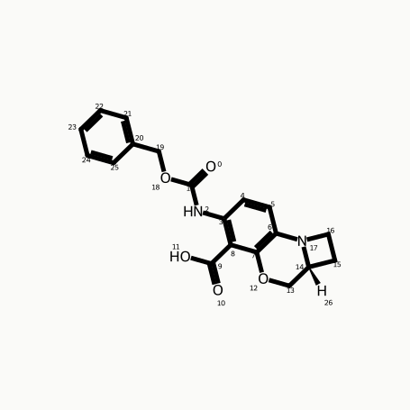 O=C(Nc1ccc2c(c1C(=O)O)OC[C@H]1CCN21)OCc1ccccc1